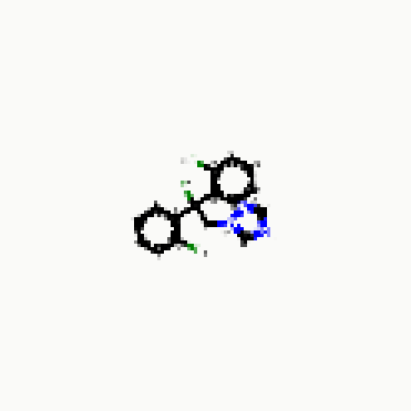 Fc1ccccc1C(F)(Cn1cncn1)c1ccccc1F